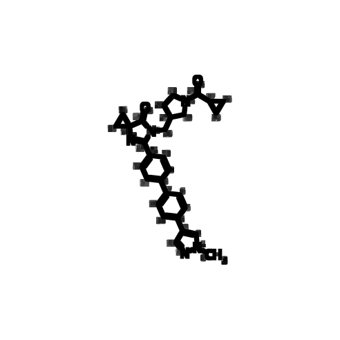 Cn1cc(-c2ccc(-c3ccc(C4=NC5(CC5)C(=O)N4CC4CCN(C(=O)C5CC5)C4)cc3)cc2)cn1